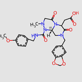 COc1ccc(CNC(=O)N2[C@H]3CN(Cc4ccc5c(c4)OCO5)C(=O)C(CC(=O)O)N3C(=O)CN2C)cc1